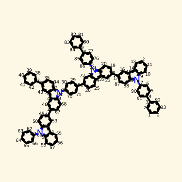 c1ccc(-c2ccc(-n3c4ccccc4c4cc(-c5ccc6c(c5)c5ccc(-c7ccc(-n8c9ccc(-c%10ccccc%10)cc9c9cc(-c%10ccc%11c(c%10)c%10ccccc%10n%11-c%10ccccc%10)ccc98)cc7)cc5n6-c5ccc(-c6ccccc6)cc5)ccc43)cc2)cc1